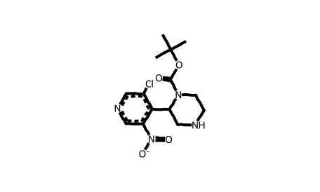 CC(C)(C)OC(=O)N1CCNCC1c1c(Cl)cncc1[N+](=O)[O-]